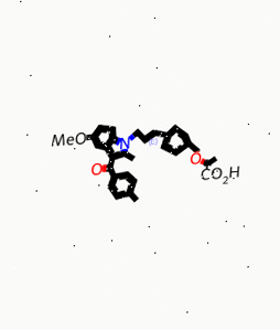 COc1ccc2c(c1)c(C(=O)c1ccc(C)cc1)c(C)n2C/C=C/c1ccc(CO[C@H](C)C(=O)O)cc1